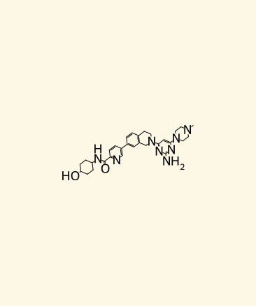 CN1CCN(c2cc(N3CCc4ccc(-c5ccc(C(=O)NC6CCC(O)CC6)nc5)cc4C3)nc(N)n2)CC1